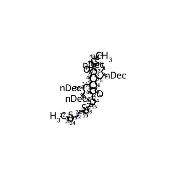 CCCCCCCCCCCCC(CCCCCCCCCC)Cc1c2cc3c(=O)c(-c4ccc(-c5ccc(/C=C/c6ccc(C)s6)s5)s4)cc3c(CC(CCCCCCCCCC)CCCCCCCCCCCC)c2cc2c(=O)c(-c3ccc(C)s3)cc12